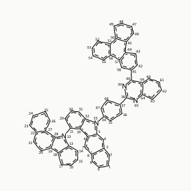 c1ccc2cc3c(cc2c1)c1c(-n2c4ccccc4c4ccc5ccccc5c42)cccc1n3-c1ccc(-c2nc(-c3ccc4c5ccccc5c5ccccc5c4c3)c3ccccc3n2)cc1